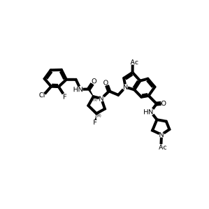 CC(=O)c1cn(CC(=O)N2C[C@H](F)C[C@H]2C(=O)NCc2cccc(Cl)c2F)c2cc(C(=O)NC3CCN(C(C)=O)C3)ccc12